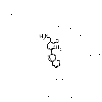 C=C(/C=C\C(C=O)=C/N)c1cnc2ccccc2c1